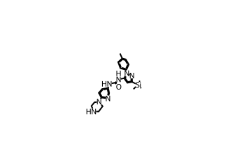 Cc1ccc(-n2nc([Si](C)(C)C)cc2NC(=O)Nc2ccc(N3CCNCC3)nc2)cc1